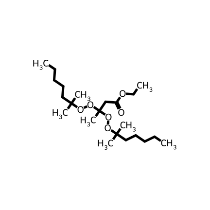 CCCCCC(C)(C)OOC(C)(CC(=O)OCC)OOC(C)(C)CCCCC